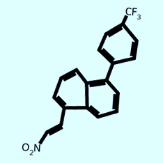 O=[N+]([O-])C=Cc1cccc2c(-c3ccc(C(F)(F)F)cc3)cccc12